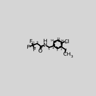 CCc1cc(CNC(=O)CC(F)(F)F)ccc1Cl